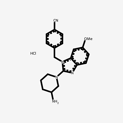 COc1ccc2nc(N3CCCC(N)C3)n(Cc3ccc(C#N)cc3)c2c1.Cl